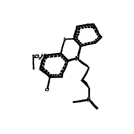 CN(C)CCCN1c2ccccc2Sc2ccc(Cl)cc21.CS(=O)(=O)O